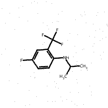 CC(C)Nc1ccc(F)cc1C(F)(F)F